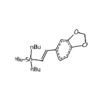 CCC[CH2][Sn](/[CH]=C/c1ccc2c(c1)OCO2)([CH2]CCC)[CH2]CCC